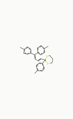 Cc1ccc(C(=CC=CC2(c3ccc(C)cc3)SCCCS2)c2ccc(C)cc2)cc1